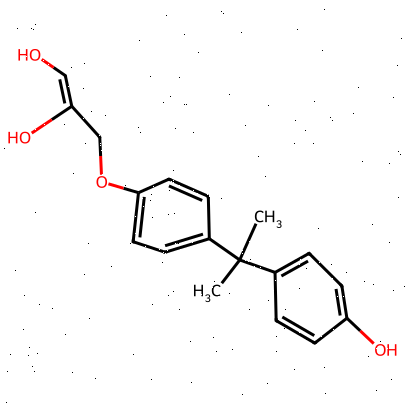 CC(C)(c1ccc(O)cc1)c1ccc(OC/C(O)=C/O)cc1